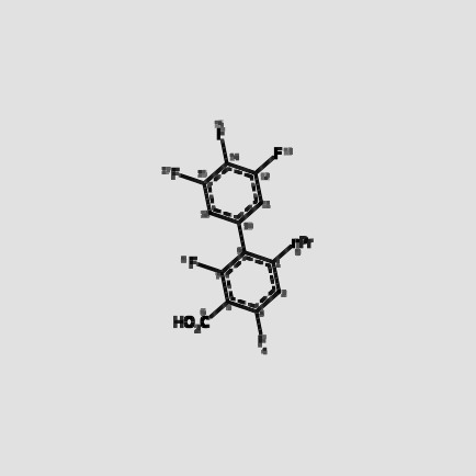 CCCc1cc(F)c(C(=O)O)c(F)c1-c1cc(F)c(F)c(F)c1